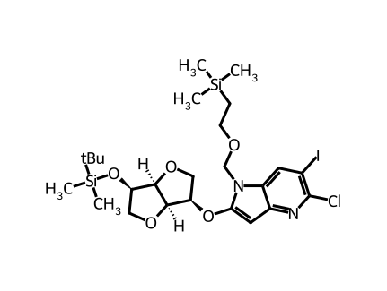 CC(C)(C)[Si](C)(C)O[C@@H]1CO[C@H]2[C@@H]1OC[C@H]2Oc1cc2nc(Cl)c(I)cc2n1COCC[Si](C)(C)C